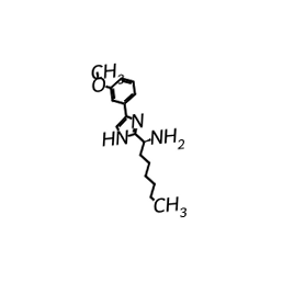 CCCCCC[C@H](N)c1nc(-c2cccc(OC)c2)c[nH]1